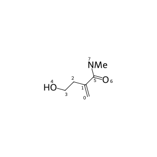 C=C(CCO)C(=O)NC